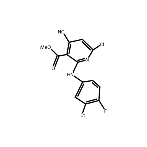 CCc1cc(Nc2nc(Cl)cc(C#N)c2C(=O)OC)ccc1F